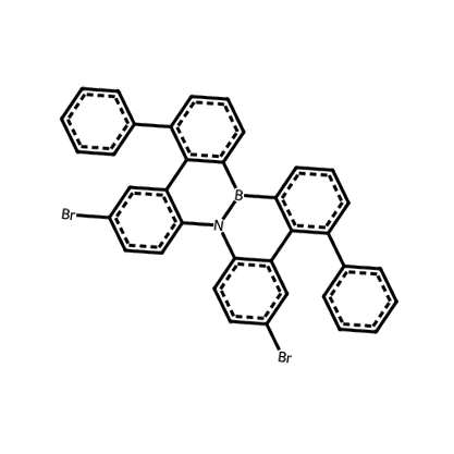 Brc1ccc2c(c1)-c1c(cccc1-c1ccccc1)B1c3cccc(-c4ccccc4)c3-c3cc(Br)ccc3N12